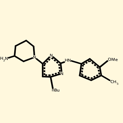 CCCCc1cc(N2CCCC(N)C2)nc(Nc2ccc(C)c(OC)c2)n1